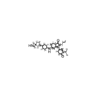 C=CCn1c(=O)c2cnc(Nc3ccc(N4CCC5(CNC5)C4)cc3)nc2n1-c1ccc(=O)n(C(C)C)n1